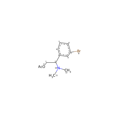 CC(=O)OCC(c1cccc(Br)c1)N(C)C